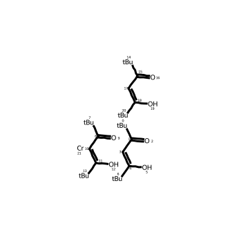 CC(C)(C)C(=O)C=C(O)C(C)(C)C.CC(C)(C)C(=O)C=C(O)C(C)(C)C.CC(C)(C)C(=O)C=C(O)C(C)(C)C.[Cr]